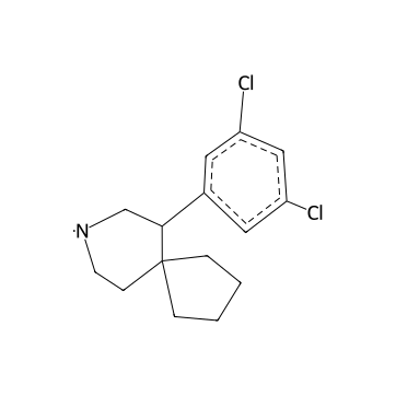 Clc1cc(Cl)cc(C2C[N]CCC23CCCC3)c1